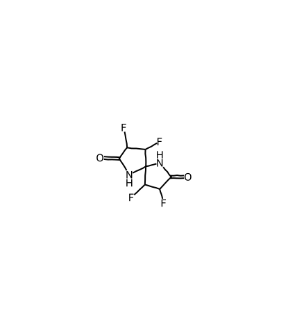 O=C1NC2(NC(=O)C(F)C2F)C(F)C1F